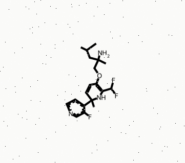 CC(C)CC(C)(N)COC1=C(C(F)F)NC(C)(c2ccncc2F)C=C1